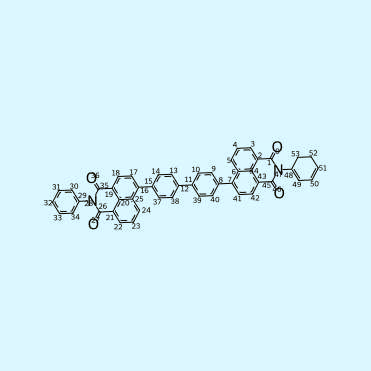 O=C1c2cccc3c(-c4ccc(-c5ccc(-c6ccc7c8c(cccc68)C(=O)N(c6ccccc6)C7=O)cc5)cc4)ccc(c23)C(=O)N1C1=CC=CCC1